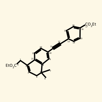 CCOC(=O)CC1=CCC(C)(C)c2cc(C#Cc3ccc(C(=O)OCC)cc3)ccc21